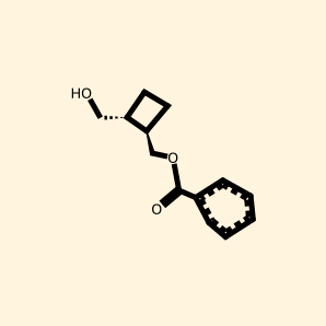 O=C(OC[C@@H]1CC[C@H]1CO)c1ccccc1